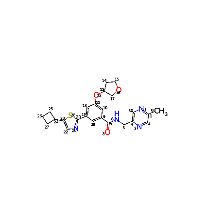 Cc1cnc(CNC(=O)c2cc(OC3CCOC3)cc(-c3ncc(C4CCC4)s3)c2)cn1